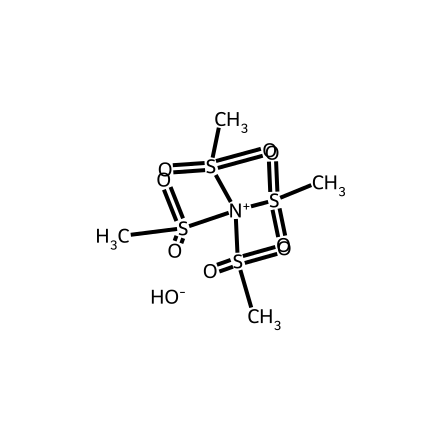 CS(=O)(=O)[N+](S(C)(=O)=O)(S(C)(=O)=O)S(C)(=O)=O.[OH-]